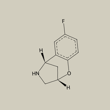 Fc1ccc2c(c1)[C@@H]1C[C@@H](CN1)O2